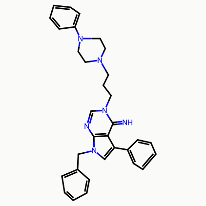 N=c1c2c(-c3ccccc3)cn(Cc3ccccc3)c2ncn1CCCN1CCN(c2ccccc2)CC1